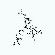 C=CC(=O)N1CCC(OCCN2CC(c3c(Cl)c(OC)cc(OC)c3Cl)=Cc3cnc(NCC4CC4)nc32)CC1